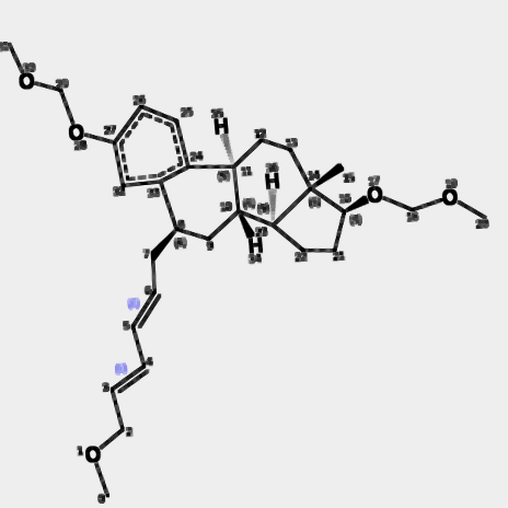 COC/C=C/C=C/C[C@@H]1C[C@@H]2[C@H](CC[C@]3(C)[C@@H](OCOC)CC[C@@H]23)c2ccc(OCOC)cc21